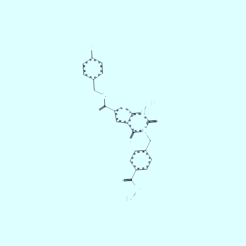 Cn1c(=O)n(Cc2ccc(C(=O)OC(C)(C)C)cc2)c(=O)c2cc(C(=O)NCc3ccc(Br)cc3)sc21